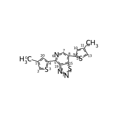 Cc1csc(-c2ncc(-c3cc(C)cs3)c3snnc23)c1